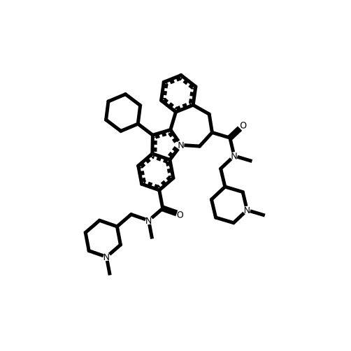 CN1CCCC(CN(C)C(=O)c2ccc3c(C4CCCCC4)c4n(c3c2)CC(C(=O)N(C)CC2CCCN(C)C2)Cc2ccccc2-4)C1